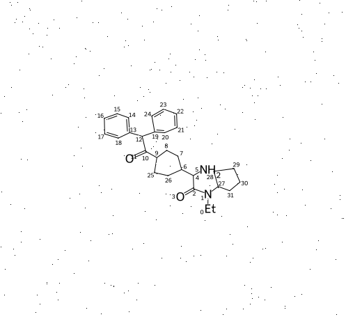 CCN(C(=O)C(N)C1CCC(C(=O)C(c2ccccc2)c2ccccc2)CC1)C1CCCC1